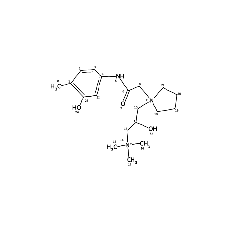 Cc1ccc(NC(=O)C[N+]2(CC(O)C[N+](C)(C)C)CCCC2)cc1O